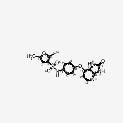 Cc1cc(S(=O)(=O)Nc2ccc(Oc3ccnc4[nH]c(=O)[nH]c34)cc2)c(F)o1